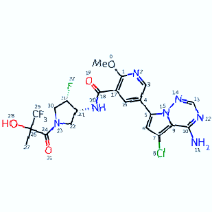 COc1ncc(-c2cc(Cl)c3c(N)ncnn23)cc1C(=O)N[C@@H]1CN(C(=O)C(C)(O)C(F)(F)F)C[C@@H]1F